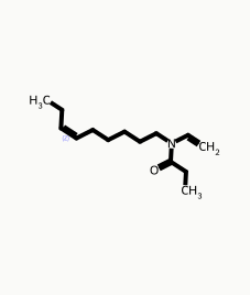 C=CN(CCCCC/C=C\CC)C(=O)CC